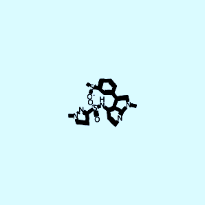 Cn1ccc(S(=O)(=O)Nc2ccnc3c2c(-c2cccc([S+](C)[O-])c2)cn3C)n1